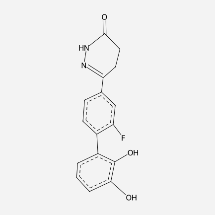 O=C1CCC(c2ccc(-c3cccc(O)c3O)c(F)c2)=NN1